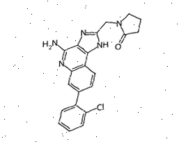 Nc1nc2cc(-c3ccccc3Cl)ccc2c2[nH]c(CN3CCCC3=O)nc12